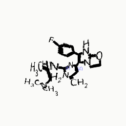 C=C/C=C(\N=C(/N)NC(C)CN(C)C)C1=C(c2ccc(F)cc2)NC2OC=CN12